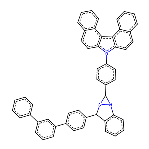 c1ccc(-c2cccc(-c3ccc(C4c5ccccc5N5C(c6ccc(-n7c8ccc9ccccc9c8c8c9ccccc9ccc87)cc6)N45)cc3)c2)cc1